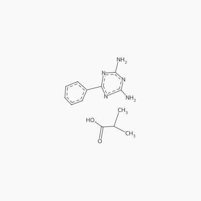 CC(C)C(=O)O.Nc1nc(N)nc(-c2ccccc2)n1